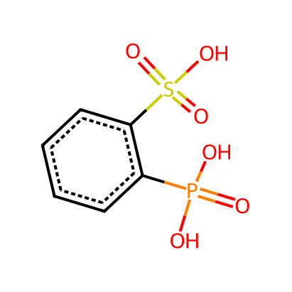 O=P(O)(O)c1ccccc1S(=O)(=O)O